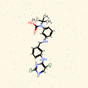 CC(C)(C)N(C(=O)O)c1cccc(NCc2cccc(Nc3nc(Cl)ncc3Cl)c2)c1